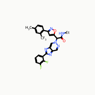 CCNC(=O)C(c1cc(-c2ccc(C)cc2C(F)(F)F)no1)n1cc2nc(-c3cccc(F)c3F)nc-2cn1